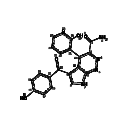 NC(=O)c1nnc2[nH]cc(C(=O)c3ccc(O)cc3)c2c1-c1cccnc1O